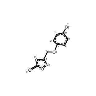 O=c1onc(COc2ccc(Br)cc2)o1